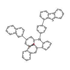 c1cc(-c2ccc3ccccc3c2)cc(N(c2ccc(-c3cccc4c3sc3ccccc34)cc2)c2ccccc2-c2ccc3ccccc3c2)c1